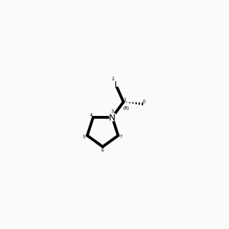 C[C@@H](I)N1CCCC1